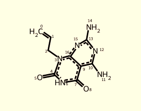 C=CCn1c(=O)[nH]c(=O)c2c(N)nc(N)nc21